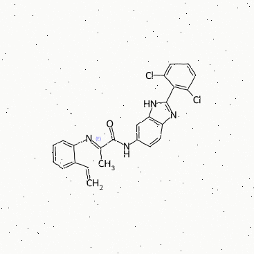 C=Cc1ccccc1/N=C(\C)C(=O)Nc1ccc2nc(-c3c(Cl)cccc3Cl)[nH]c2c1